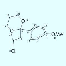 COc1ccc(C2(CCCl)OCCCO2)cc1